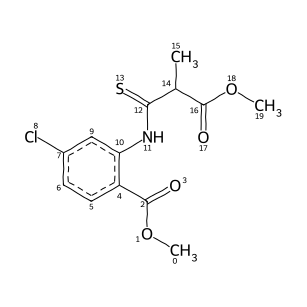 COC(=O)c1ccc(Cl)cc1NC(=S)C(C)C(=O)OC